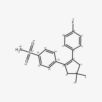 CC1(C)CC(c2ccc(F)cc2)=C(c2ccc(S(N)(=O)=O)cc2)C1